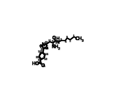 CCCCCCNC(=O)[C@@H](N)Cc1nnc(-c2ccc(C(=O)O)cc2)s1